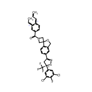 C=C/C=c1/ccc(C(=O)N2CC3(C2)OCc2cc(C4=NS[C@@](c5cc(Cl)c(F)c(Cl)c5)(C(F)(F)F)C4)ccc23)c/c1=C/C